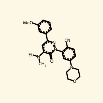 CCN(C)c1cc(-c2cccc(OC)c2)nn(-c2cc(N3CCOCC3)ccc2C#N)c1=O